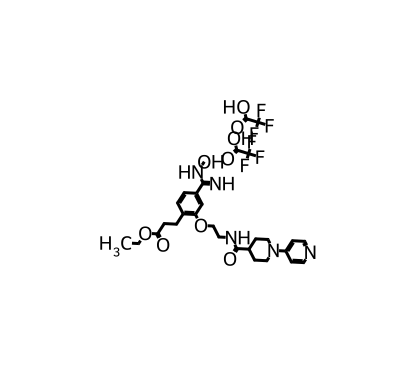 CCOC(=O)CCc1ccc(C(=N)NO)cc1OCCNC(=O)C1CCN(c2ccncc2)CC1.O=C(O)C(F)(F)F.O=C(O)C(F)(F)F